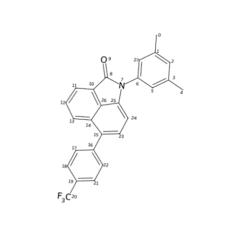 Cc1cc(C)cc(N2C(=O)c3cccc4c(-c5ccc(C(F)(F)F)cc5)ccc2c34)c1